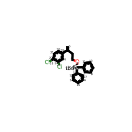 C=C(CCO[Si](c1ccccc1)(c1ccccc1)C(C)(C)C)c1ccc(Cl)c(Cl)c1